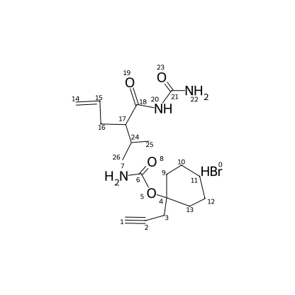 Br.C#CCC1(OC(N)=O)CCCCC1.C=CCC(C(=O)NC(N)=O)C(C)C